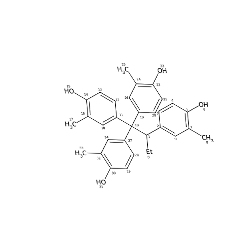 CCC(c1ccc(O)c(C)c1)C(c1ccc(O)c(C)c1)(c1ccc(O)c(C)c1)c1ccc(O)c(C)c1